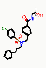 C[C@H](O)CNC(=O)c1ccc(CN(CCCc2ccccc2)S(=O)(=O)c2ccc(Cl)cc2)cc1